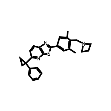 Cc1cc(-c2nc3ccc(C4(c5ccccc5)CC4)nc3s2)cc(C)c1CN1CCC1